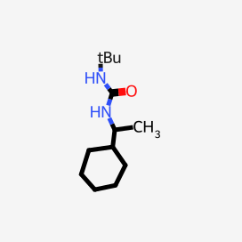 CC(NC(=O)NC(C)(C)C)C1CCCCC1